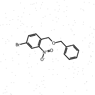 O=[N+]([O-])c1cc(Br)ccc1COCc1ccccc1